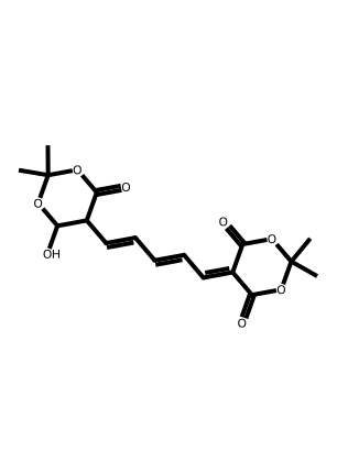 CC1(C)OC(=O)C(=CC=CC=CC2C(=O)OC(C)(C)OC2O)C(=O)O1